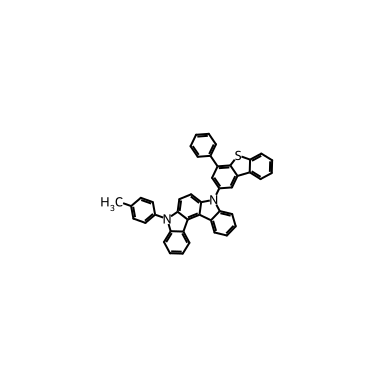 Cc1ccc(-n2c3ccccc3c3c4c5ccccc5n(-c5cc(-c6ccccc6)c6sc7ccccc7c6c5)c4ccc32)cc1